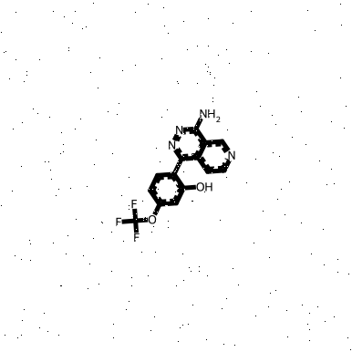 Nc1nnc(-c2ccc(OC(F)(F)F)cc2O)c2ccncc12